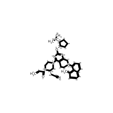 C=CC(=O)N1CCN(c2nc(O[C@H]3CCC[C@H]3N(C)C)nc3c2CCN(c2cccc4cccc(C)c24)C3)C[C@@H]1CC#N